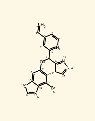 C=Cc1ccnc(C(Oc2cc(Br)c3ncsc3c2)C2=NN=CC2)c1